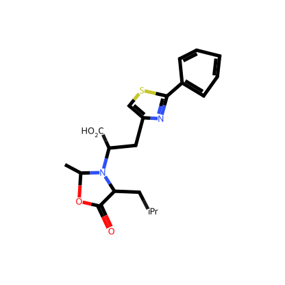 CC(C)CC1C(=O)OC(C)N1C(Cc1csc(-c2ccccc2)n1)C(=O)O